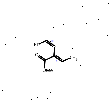 C/C=C(\C=C/CC)C(=O)OC